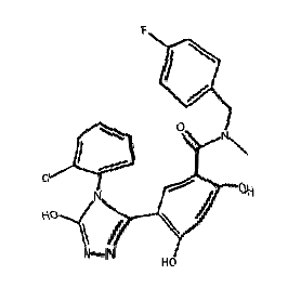 CN(Cc1ccc(F)cc1)C(=O)c1cc(-c2nnc(O)n2-c2ccccc2Cl)c(O)cc1O